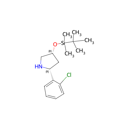 CC(C)(C)[Si](C)(C)O[C@H]1CN[C@@H](c2ccccc2Cl)C1